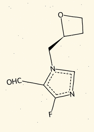 O=Cc1c(F)ncn1C[C@@H]1CCO1